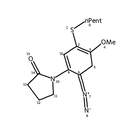 CCCCCSC1=C(OC)CC(=[N+]=[N-])C(N2CCCC2=O)=C1